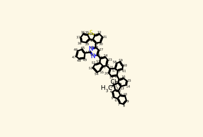 CC1(C)c2ccc3ccccc3c2-c2cccc(-c3ccc(-c4ccc(-c5cc(-c6cccc7sc8ccccc8c67)nc(-c6ccccc6)n5)c5ccccc45)c4ccccc34)c21